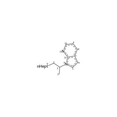 CCCCCCCCC(C)n1ccc2cccnc21